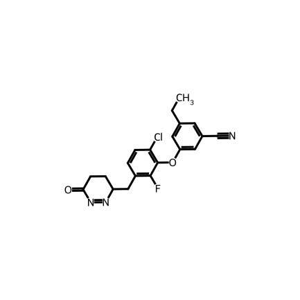 CCc1cc(C#N)cc(Oc2c(Cl)ccc(CC3CCC(=O)N=N3)c2F)c1